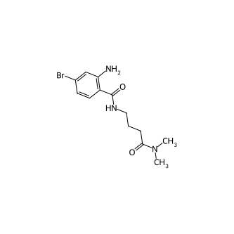 CN(C)C(=O)CCCNC(=O)c1ccc(Br)cc1N